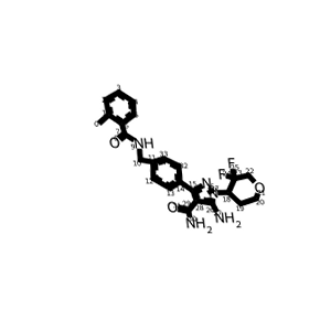 Cc1ccccc1C(=O)NCc1ccc(-c2nn(C3CCOCC3(F)F)c(N)c2C(N)=O)cc1